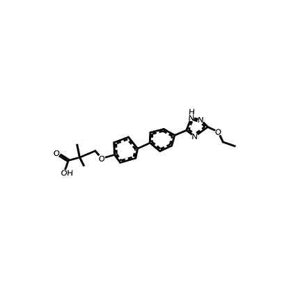 CCOc1n[nH]c(-c2ccc(-c3ccc(OCC(C)(C)C(=O)O)cc3)cc2)n1